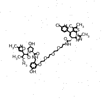 Cc1cc(C(C(=O)N2C[C@H](O)C[C@H]2C(=O)NCc2ccc(O)cc2OCCOCCOCCOCCNC(=O)C[C@@H]2C=C(c3ccc(Cl)cc3)c3c(sc(C)c3C)-n3c(C)nnc32)C(C)C)on1